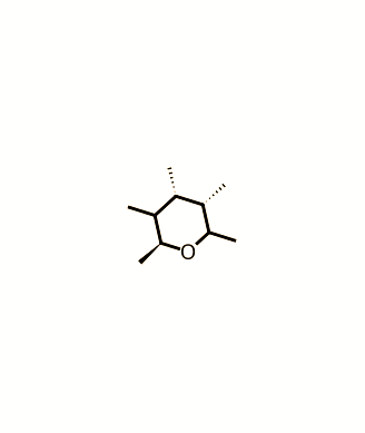 CC1O[C@@H](C)C(C)[C@H](C)[C@@H]1C